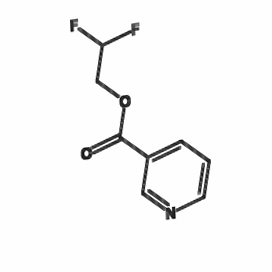 O=C(OCC(F)F)c1cccnc1